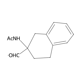 CC(=O)NC1([C]=O)CCc2ccccc2C1